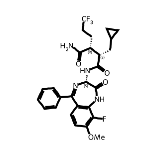 COc1ccc2c(c1F)NC(=O)[C@@H](NC(=O)[C@@H](CC1CC1)[C@@H](CCC(F)(F)F)C(N)=O)N=C2c1ccccc1